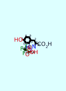 N[C@@H](Cc1ccc(O)cc1)C(=O)O.O=S(=O)(O)C(F)(F)F